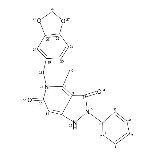 Cc1c2c(=O)n(-c3ccccc3)[nH]c2cc(=O)n1Cc1ccc2c(c1)OCO2